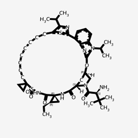 CC[C@@H]1C[C@@]12NC(=O)[C@@H]1C[C@H](CN1C(=O)[C@@H](N)C(C)(C)C)Oc1nc3c(cccc3n1C(C)C)-c1nc(C(C)C)c(s1)CCCCCCCCC1(CC1)S(=O)(=O)NC2=O